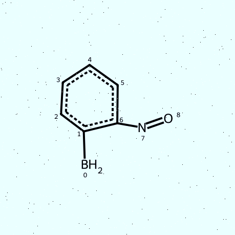 Bc1ccccc1N=O